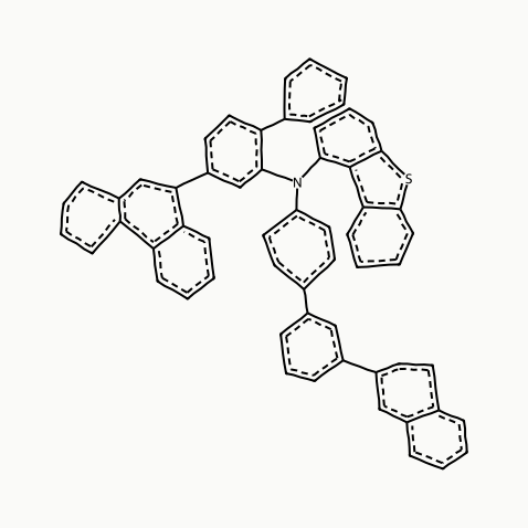 c1ccc(-c2ccc(-c3cc4ccccc4c4ccccc34)cc2N(c2ccc(-c3cccc(-c4ccc5ccccc5c4)c3)cc2)c2cccc3sc4ccccc4c23)cc1